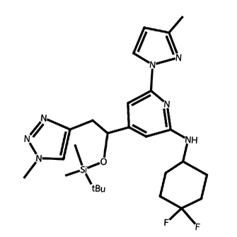 Cc1ccn(-c2cc(C(Cc3cn(C)nn3)O[Si](C)(C)C(C)(C)C)cc(NC3CCC(F)(F)CC3)n2)n1